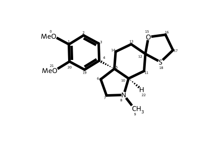 COc1ccc([C@@]23CCN(C)[C@@H]2CC2(CC3)OCCS2)cc1OC